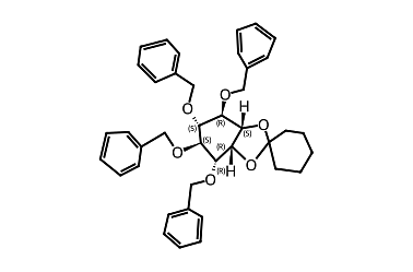 c1ccc(CO[C@H]2[C@H](OCc3ccccc3)[C@@H](OCc3ccccc3)[C@@H]3OC4(CCCCC4)O[C@@H]3[C@@H]2OCc2ccccc2)cc1